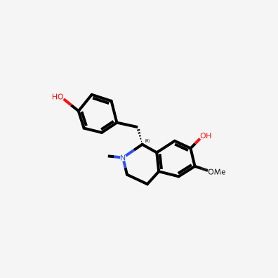 COc1cc2c(cc1O)[C@@H](Cc1ccc(O)cc1)N(C)CC2